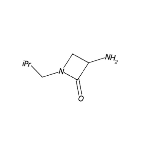 CC(C)CN1CC(N)C1=O